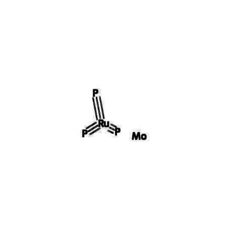 [Mo].[P]#[Ru](#[P])#[P]